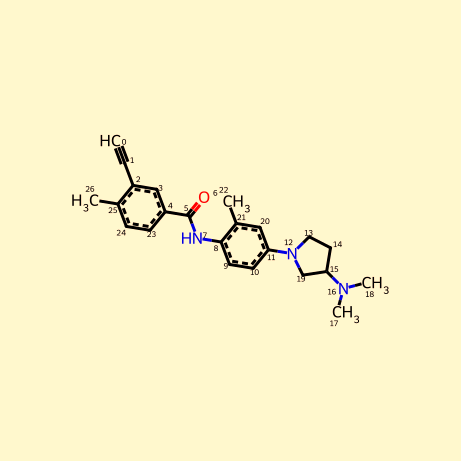 C#Cc1cc(C(=O)Nc2ccc(N3CCC(N(C)C)C3)cc2C)ccc1C